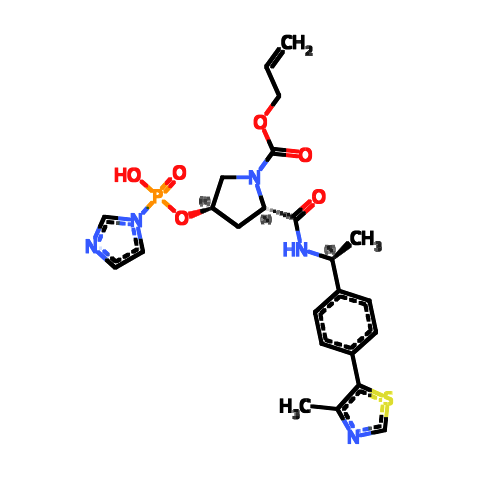 C=CCOC(=O)N1C[C@H](OP(=O)(O)n2ccnc2)C[C@H]1C(=O)N[C@@H](C)c1ccc(-c2scnc2C)cc1